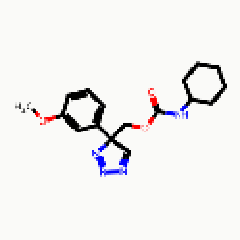 COc1cccc(C2(COC(=O)NC3CCCCC3)C=NN=N2)c1